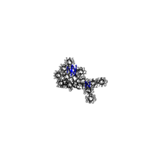 CC1(C)c2cc(-c3c(-c4nc(-c5ccccc5)nc(-c5ccccc5)n4)c(-c4ccccc4)c4c5ccccc5c5ccccc5c4c3-c3ccccc3)ccc2-c2ccc(-n3c4ccc(-c5ccccc5)cc4c4cc(-c5ccccc5)ccc43)cc21